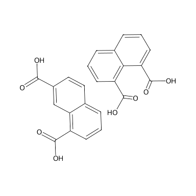 O=C(O)c1ccc2cccc(C(=O)O)c2c1.O=C(O)c1cccc2cccc(C(=O)O)c12